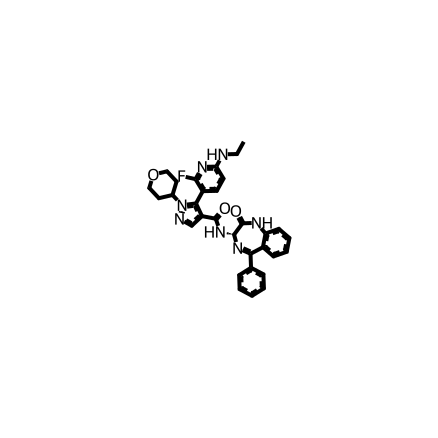 CCNc1ccc(-c2c(C(=O)N[C@H]3N=C(c4ccccc4)c4ccccc4NC3=O)cnn2C2CCOCC2)c(F)n1